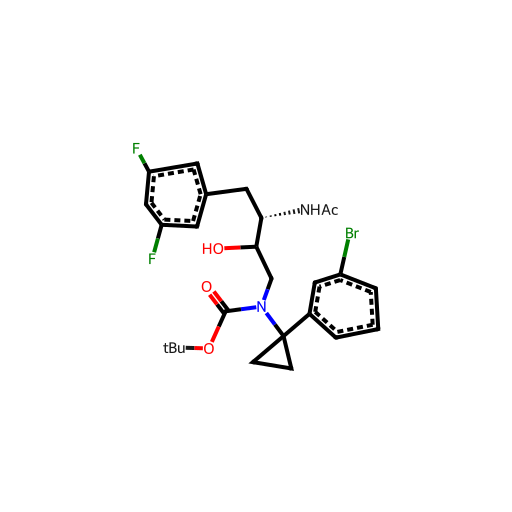 CC(=O)N[C@@H](Cc1cc(F)cc(F)c1)C(O)CN(C(=O)OC(C)(C)C)C1(c2cccc(Br)c2)CC1